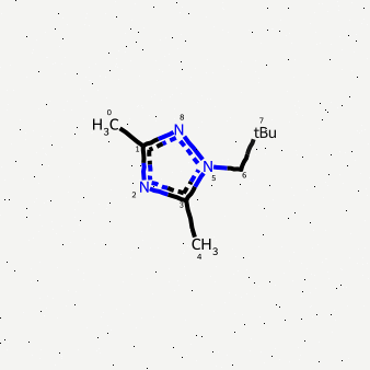 Cc1nc(C)n(CC(C)(C)C)n1